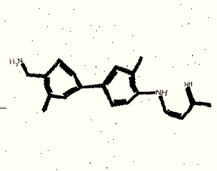 CC(=N)/C=C\Nc1ccc(-c2ccc(CN)c(C)c2)cc1C